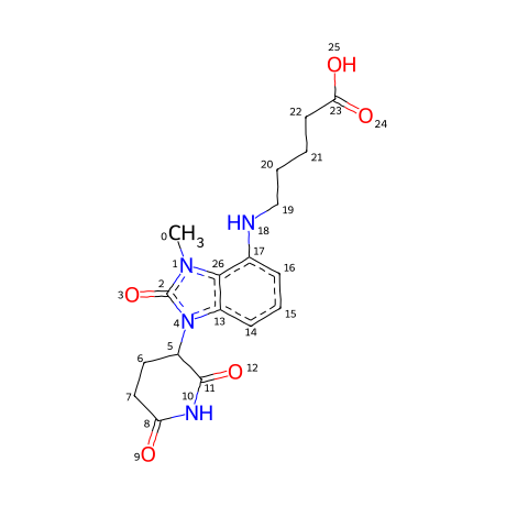 Cn1c(=O)n(C2CCC(=O)NC2=O)c2cccc(NCCCCC(=O)O)c21